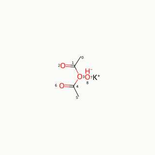 CC(=O)OC(C)=O.[K+].[OH-]